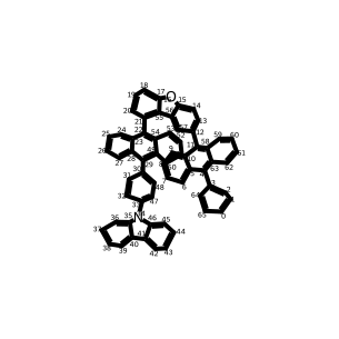 c1ccc(-c2c3ccccc3c(-c3ccc4oc5cccc(-c6c7ccccc7c(-c7ccc(-n8c9ccccc9c9ccccc98)cc7)c7ccccc67)c5c4c3)c3ccccc23)cc1